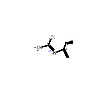 C=CC(=C)/N=C(/N)CC